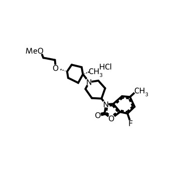 COCCO[C@H]1CC[C@](C)(N2CCC(n3c(=O)oc4c(F)cc(C)cc43)CC2)CC1.Cl